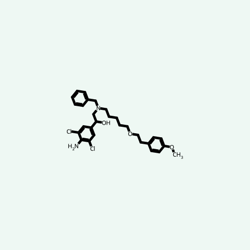 COc1ccc(CCOCCCCCN(Cc2ccccc2)CC(O)c2cc(Cl)c(N)c(Cl)c2)cc1